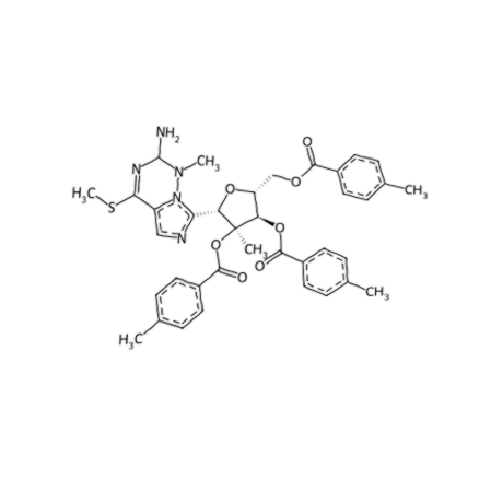 CSC1=NC(N)N(C)n2c1cnc2[C@@H]1O[C@H](COC(=O)c2ccc(C)cc2)[C@@H](OC(=O)c2ccc(C)cc2)[C@@]1(C)OC(=O)c1ccc(C)cc1